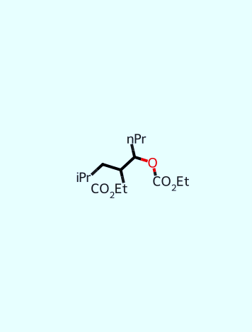 CCCC(OC(=O)OCC)C(CC(C)C)C(=O)OCC